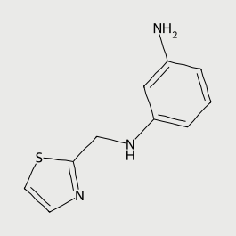 Nc1cccc(NCc2nccs2)c1